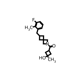 Cc1c(F)cccc1CC1CC2(C1)CN(C(=O)C1CC(C)(O)C1)C2